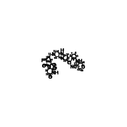 N#CC1(CNc2cccc(-c3cc(NC4CCN(Cc5cc(F)c6c(c5)C(=O)N(C5CCC(=O)NC5=O)C6=O)CC4)ncc3Cl)n2)CCOCC1